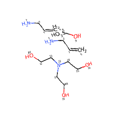 C=CCN.C=CCN.O=S(=O)(O)O.OCCN(CCO)CCO